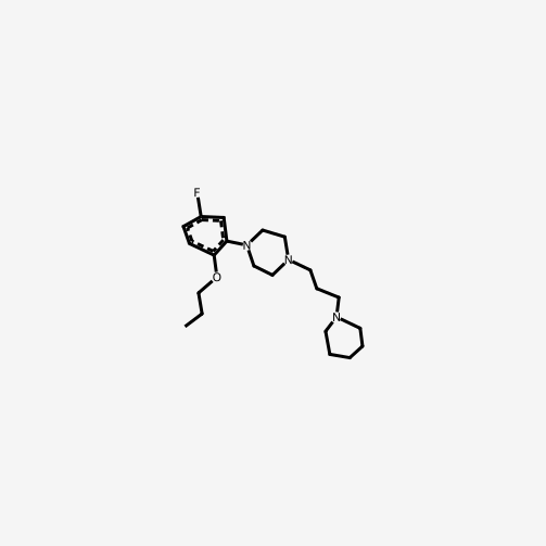 CCCOc1ccc(F)cc1N1CCN(CCCN2CCCCC2)CC1